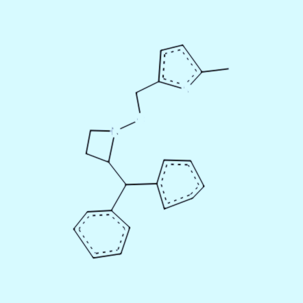 Cc1ccc(CON2CCC2C(c2ccccc2)c2ccccc2)s1